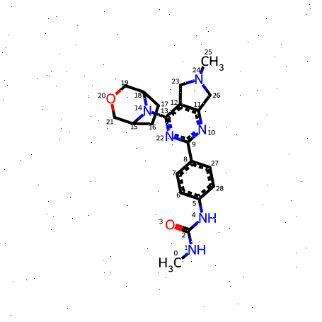 CNC(=O)Nc1ccc(-c2nc3c(c(N4C5CCC4COC5)n2)CN(C)C3)cc1